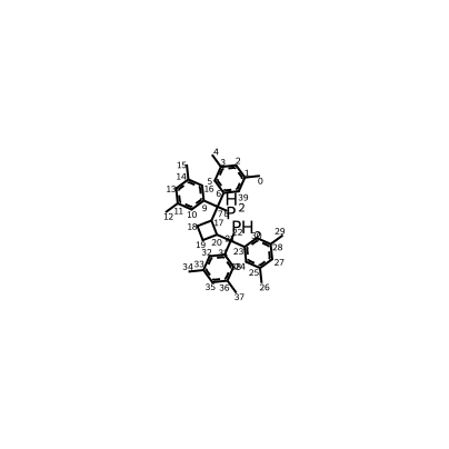 Cc1cc(C)cc(C(P)(c2cc(C)cc(C)c2)C2CCC2C(P)(c2cc(C)cc(C)c2)c2cc(C)cc(C)c2)c1